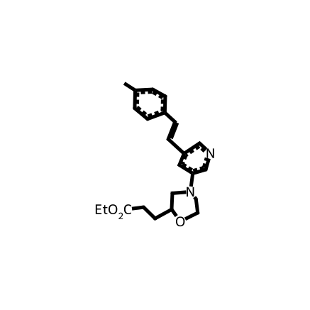 CCOC(=O)CCC1CN(c2cncc(/C=C/c3ccc(C)cc3)c2)CCO1